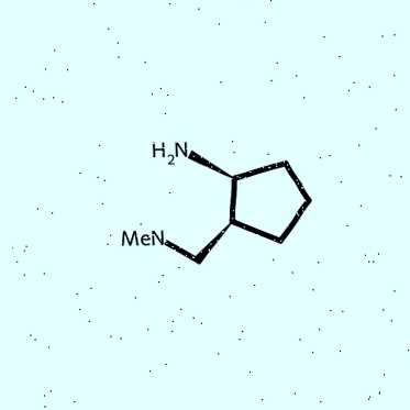 CNC[C@@H]1CCC[C@@H]1N